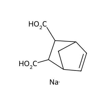 O=C(O)C1C2C=CC(C2)C1C(=O)O.[Na]